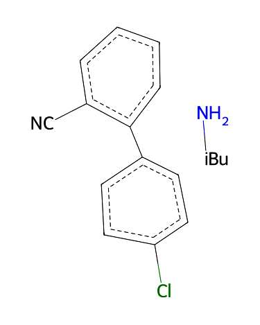 CCC(C)N.N#Cc1ccccc1-c1ccc(Cl)cc1